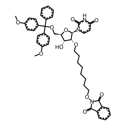 COc1ccc(C(OC[C@H]2O[C@@H](n3ccc(=O)[nH]c3=O)[C@H](OCCCCCCCCON3C(=O)c4ccccc4C3=O)[C@@H]2O)(c2ccccc2)c2ccc(OC)cc2)cc1